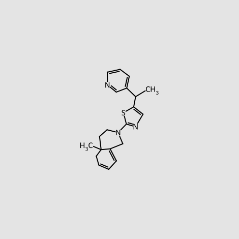 CC(c1cccnc1)c1cnc(N2CCC3(C)CC=CC=C3C2)s1